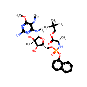 C=Nc1c(OC)nc(N)nc1N(C)[C@@H]1O[C@H](COP(=O)(N[C@@H](C)C(=O)OCC(C)(C)C)Oc2cccc3ccccc23)[C@@H](O)[C@@]1(C)O